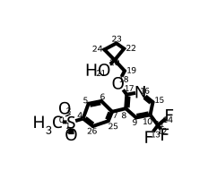 CS(=O)(=O)c1ccc(-c2cc(C(F)(F)F)cnc2OCC2(O)CCC2)cc1